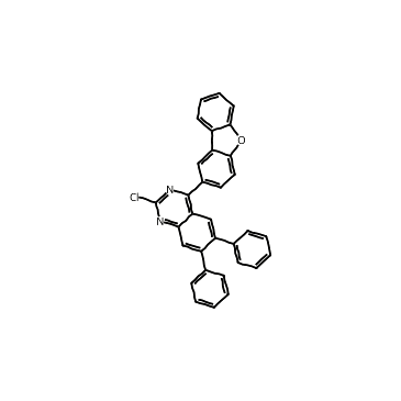 Clc1nc(-c2ccc3oc4ccccc4c3c2)c2cc(-c3ccccc3)c(-c3ccccc3)cc2n1